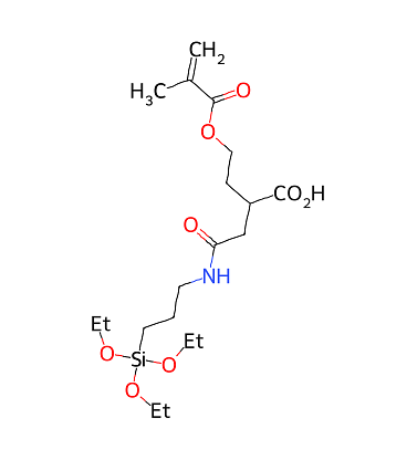 C=C(C)C(=O)OCCC(CC(=O)NCCC[Si](OCC)(OCC)OCC)C(=O)O